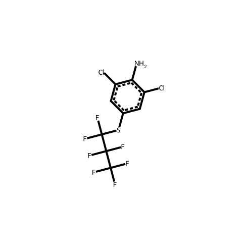 Nc1c(Cl)cc(SC(F)(F)C(F)(F)C(F)(F)F)cc1Cl